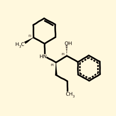 CCC[C@@H](NC1CC=CC[C@@H]1C)[C@H](O)c1ccccc1